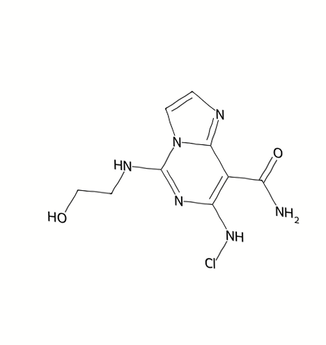 NC(=O)c1c(NCl)nc(NCCO)n2ccnc12